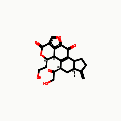 C=C1CCC2C3=C([C@H](C(=O)CO)C[C@]12C)[C@]1(C)c2c(coc2C3=O)C(=O)O[C@@H]1CCO